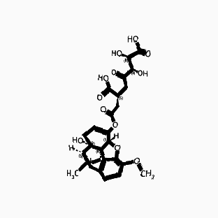 COc1ccc2c3c1O[C@@H]1C(OC(=O)C[C@H](CC(=O)[C@H](O)[C@@H](O)C(=O)O)C(=O)O)=CC[C@]4(O)[C@H](C2)N(C)CC[C@@]314